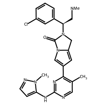 CNC[C@H](c1cccc(Cl)c1)N1Cc2cc(-c3nc(Nc4ccnn4C)ncc3C)cn2C1=O